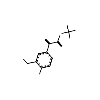 CC(C)(C)NC(=O)C(=O)c1ccc(O)c(CO)c1